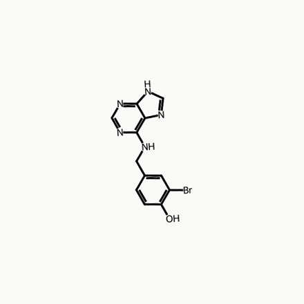 Oc1ccc(CNc2ncnc3[nH]cnc23)cc1Br